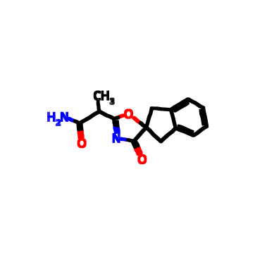 CC(C(N)=O)C1=NC(=O)C2(Cc3ccccc3C2)O1